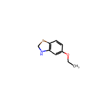 CCOc1ccc2c(c1)NCS2